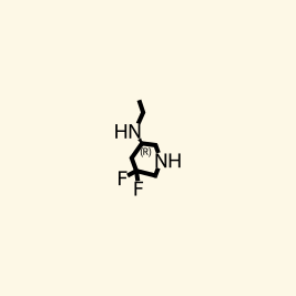 CCN[C@H]1CNCC(F)(F)C1